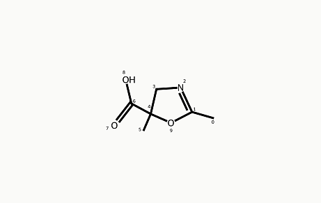 CC1=NCC(C)(C(=O)O)O1